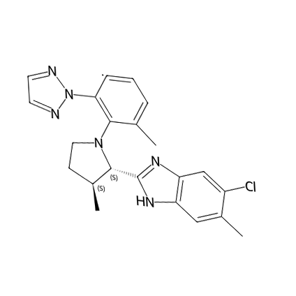 Cc1cc2[nH]c([C@@H]3[C@@H](C)CCN3c3c(-n4nccn4)[c]ccc3C)nc2cc1Cl